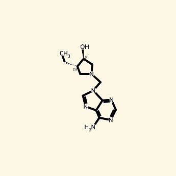 CC[C@H]1CN(Cn2cnc3c(N)ncnc32)C[C@@H]1O